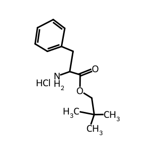 CC(C)(C)COC(=O)C(N)Cc1ccccc1.Cl